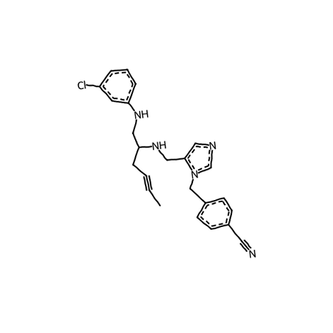 CC#CCC(CNc1cccc(Cl)c1)NCc1cncn1Cc1ccc(C#N)cc1